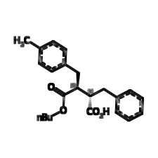 CCCCOC(=O)[C@@H](Cc1ccc(C)cc1)[C@H](Cc1ccccc1)C(=O)O